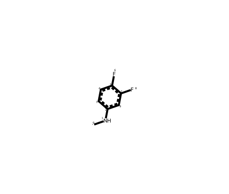 [CH2]Nc1ccc(F)c(F)c1